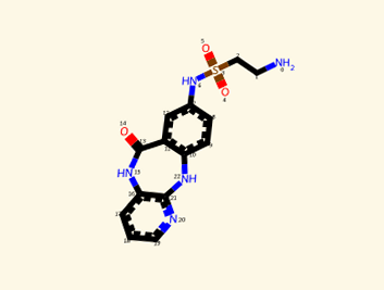 NCCS(=O)(=O)Nc1ccc2c(c1)C(=O)Nc1cccnc1N2